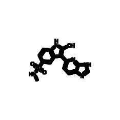 CNS(=O)(=O)c1ccc2[nH]c(O)c(-c3ccc4nc[nH]c4n3)c2c1